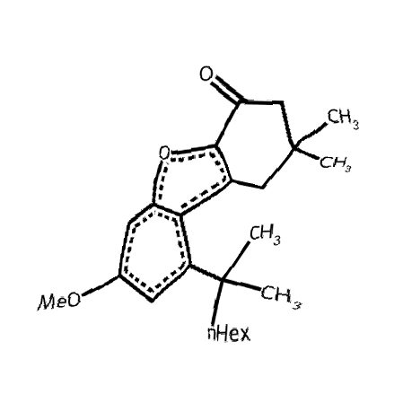 CCCCCCC(C)(C)c1cc(OC)cc2oc3c(c12)CC(C)(C)CC3=O